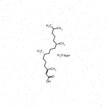 C/C(=C\C(=O)O)CCC[C@H](C)CCC[C@H](C)CCCC(C)C.O.[NaH]